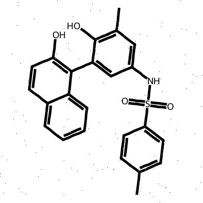 Cc1ccc(S(=O)(=O)Nc2cc(C)c(O)c(-c3c(O)ccc4ccccc34)c2)cc1